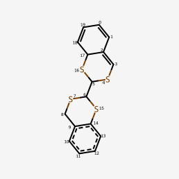 C1=CC2=CSC(C3SCc4ccccc4S3)SC2C=C1